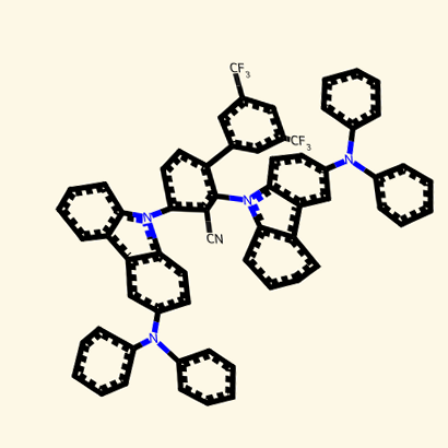 N#Cc1c(-n2c3ccccc3c3cc(N(c4ccccc4)c4ccccc4)ccc32)ccc(-c2cc(C(F)(F)F)cc(C(F)(F)F)c2)c1-n1c2ccccc2c2cc(N(c3ccccc3)c3ccccc3)ccc21